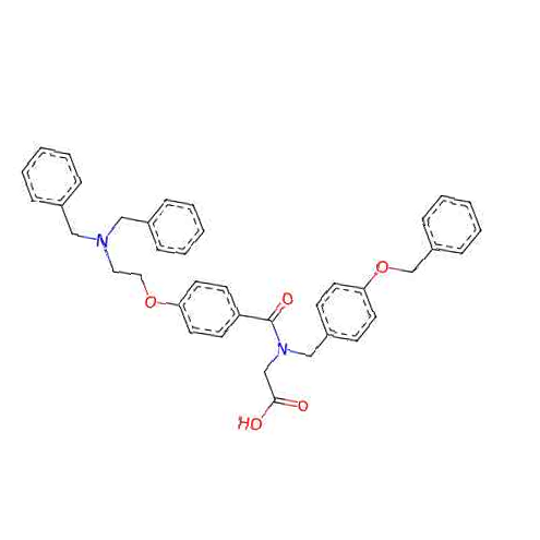 O=C(O)CN(Cc1ccc(OCc2ccccc2)cc1)C(=O)c1ccc(OCCN(Cc2ccccc2)Cc2ccccc2)cc1